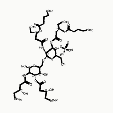 CCCCCCCCCCCCCC(=O)O[C@H](CCCCCCCCCCC)CC(=O)N[C@H]1C(OC(=O)C[C@@H](CCCCCCCCCCC)OC(=O)CCCCCCCCCCCCC)[C@H](OP(=O)(O)O)C(CO)O[C@H]1OCC1O[C@H](O)C(NC(=O)C[C@H](O)CCCCCCCCCCC)[C@@H](OC(=O)C[C@H](O)CCCCCCCCCCC)[C@@H]1O